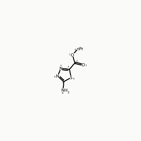 CCCOC(=O)c1nnc(N)s1